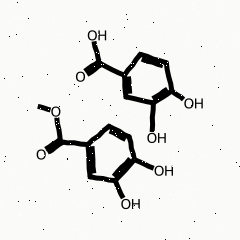 COC(=O)c1ccc(O)c(O)c1.O=C(O)c1ccc(O)c(O)c1